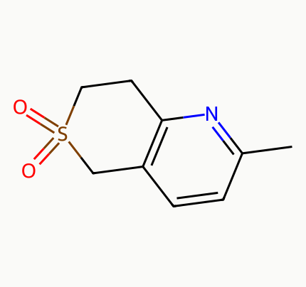 Cc1ccc2c(n1)CCS(=O)(=O)C2